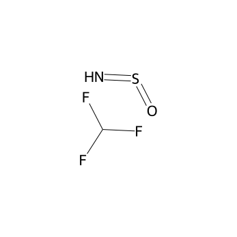 FC(F)F.N=S=O